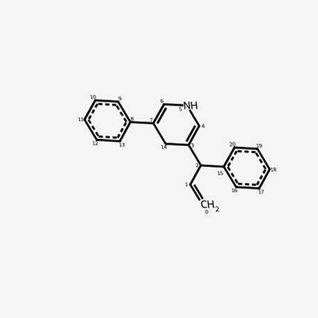 C=CC(C1=CNC=C(c2ccccc2)C1)c1ccccc1